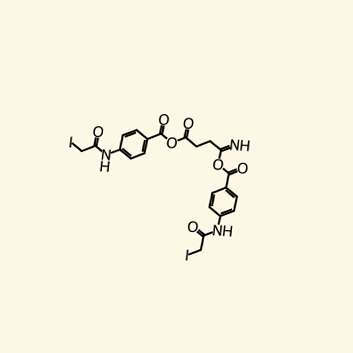 N=C(CCC(=O)OC(=O)c1ccc(NC(=O)CI)cc1)OC(=O)c1ccc(NC(=O)CI)cc1